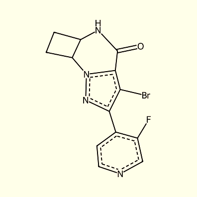 O=C1NC2CCC2n2nc(-c3ccncc3F)c(Br)c21